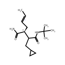 C/C=C/C[C@H](C(N)=O)C(CC1CC1)C(=O)NC(C)(C)C